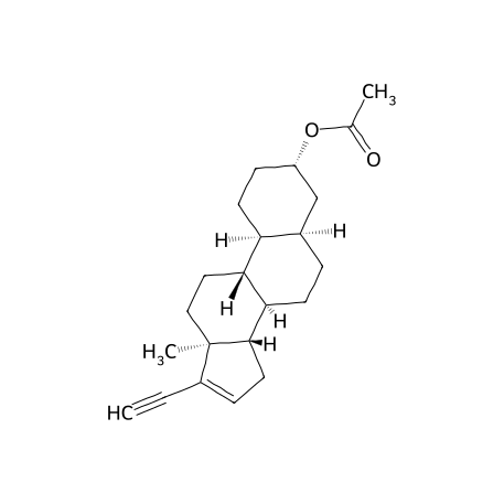 C#CC1=CC[C@H]2[C@@H]3CC[C@@H]4C[C@@H](OC(C)=O)CC[C@@H]4[C@H]3CC[C@]12C